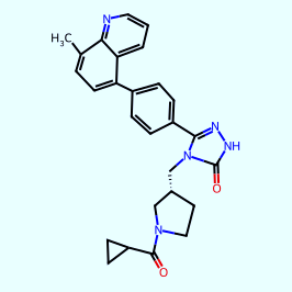 Cc1ccc(-c2ccc(-c3n[nH]c(=O)n3C[C@@H]3CCN(C(=O)C4CC4)C3)cc2)c2cccnc12